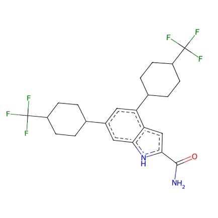 NC(=O)c1cc2c(C3CCC(C(F)(F)F)CC3)cc(C3CCC(C(F)(F)F)CC3)cc2[nH]1